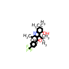 CC(C)c1nc2c(c3c1C(c1ccc(C(F)(F)F)cc1)OC3(C)C)C(O)CC(C)(C)C2